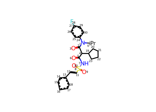 CC(C)N(C(=O)C(C(=O)NS(=O)(=O)C=Cc1ccccc1)C1CCCC1)c1ccc(F)cc1